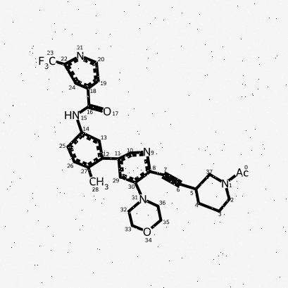 CC(=O)N1CCCC(C#Cc2ncc(-c3cc(NC(=O)c4ccnc(C(F)(F)F)c4)ccc3C)cc2N2CCOCC2)C1